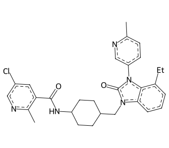 CCc1cccc2c1n(-c1ccc(C)nc1)c(=O)n2CC1CCC(NC(=O)c2cc(Cl)cnc2C)CC1